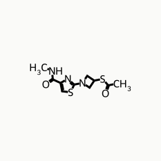 CNC(=O)c1csc(N2CC(SC(C)=O)C2)n1